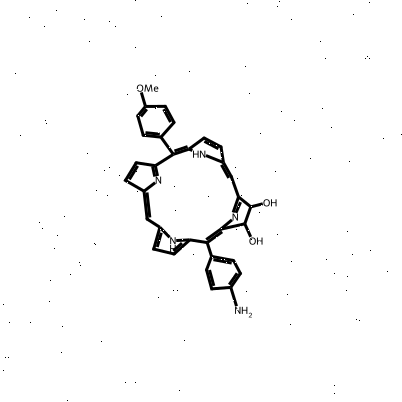 COc1ccc(-c2c3nc(cc4ccc([nH]4)c(-c4ccc(N)cc4)c4nc(cc5ccc2[nH]5)C(O)C4O)C=C3)cc1